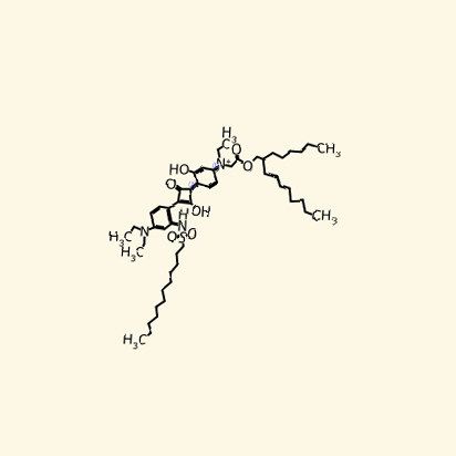 CCCCCCCCCCCCS(=O)(=O)Nc1cc(N(CC)CC)ccc1C1=C(O)/C(=C2C=C/C(=[N+](/CC)CC(=O)OCC(CCCCCC)CCCCCCCC)C=C\2O)C1=O